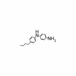 CCCCc1ccc(Nc2ccc(N)cc2)cc1